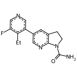 CCc1c(F)cncc1-c1cnc2c(c1)CCN2C(N)=O